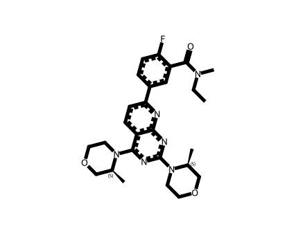 CCN(C)C(=O)c1cc(-c2ccc3c(N4CCOC[C@@H]4C)nc(N4CCOC[C@@H]4C)nc3n2)ccc1F